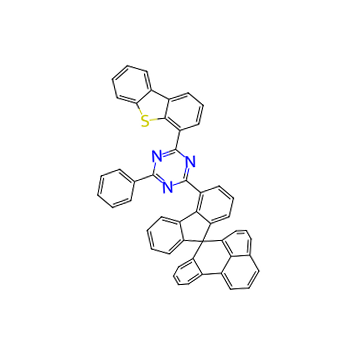 c1ccc(-c2nc(-c3cccc4c3-c3ccccc3C43c4ccccc4-c4cccc5cccc3c45)nc(-c3cccc4c3sc3ccccc34)n2)cc1